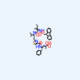 CC[C@H](C)[C@H](NC(=O)OCC1c2ccccc2-c2ccccc21)C(=O)N(C)[C@H](CCc1nc(C(=O)N[C@H](/C=C(\C)C(=O)O)Cc2ccccc2)cs1)C(C)C